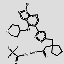 CCn1ncc2c(NC3CCOCC3)c(-c3nnc(CC4(CC(=O)NC)CCCC4)o3)cnc21.O=C(O)C(F)(F)F